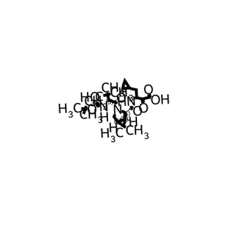 CC(C)(C)OC(=O)N[C@H](C(=O)N1C[C@H]2[C@@H]([C@H]1C(=O)NC(CC1CC1)C(=O)C(=O)O)C2(C)C)C(C)(C)C